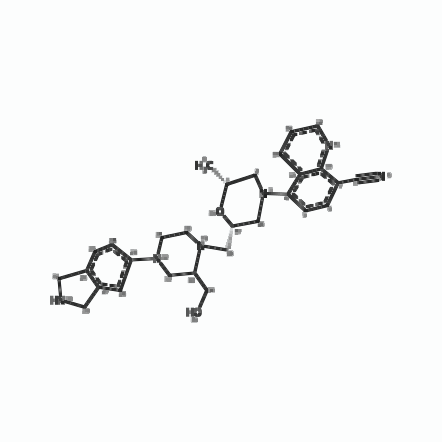 C[C@@H]1CN(c2ccc(C#N)c3ncccc23)C[C@H](CN2CCN(c3ccc4c(c3)CNC4)CC2CO)O1